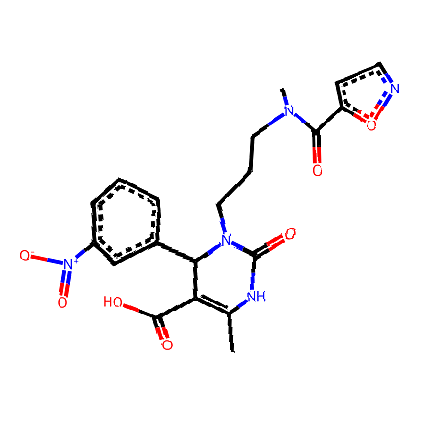 CC1=C(C(=O)O)C(c2cccc([N+](=O)[O-])c2)N(CCCN(C)C(=O)c2ccno2)C(=O)N1